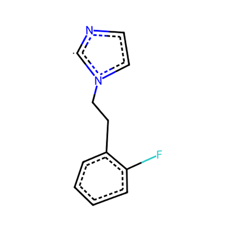 Fc1ccccc1CCn1[c]ncc1